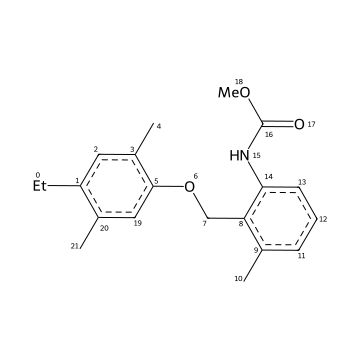 CCc1cc(C)c(OCc2c(C)cccc2NC(=O)OC)cc1C